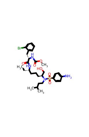 CC[C@@H](CCC[C@@H](CO)N(CCC(C)C)S(=O)(=O)c1ccc(N)cc1)NC(=O)[C@H](Cc1ccccc1Br)NC(=O)OC